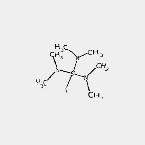 CN(C)[Si](I)(N(C)C)N(C)C